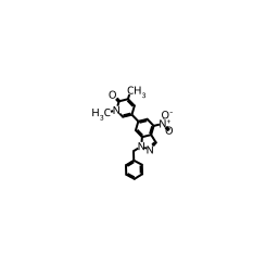 Cc1cc(-c2cc([N+](=O)[O-])c3cnn(Cc4ccccc4)c3c2)cn(C)c1=O